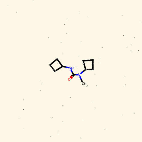 CN(C(=O)NC1CCC1)C1CCC1